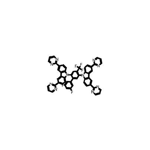 Fc1cc(F)cc(-c2cc(-n3c4ccc(-c5ncccn5)cc4c4cc(-c5ncccn5)ccc43)c(C(F)(F)F)cc2-n2c3ccc(-c4ncccn4)cc3c3cc(-c4ncccn4)ccc32)c1